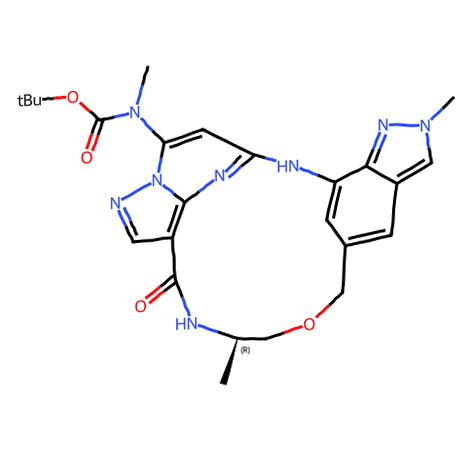 C[C@@H]1COCc2cc(c3nn(C)cc3c2)Nc2cc(N(C)C(=O)OC(C)(C)C)n3ncc(c3n2)C(=O)N1